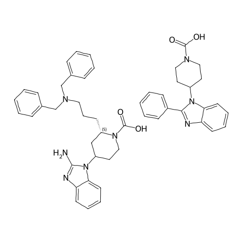 Nc1nc2ccccc2n1C1CCN(C(=O)O)[C@@H](CCCN(Cc2ccccc2)Cc2ccccc2)C1.O=C(O)N1CCC(n2c(-c3ccccc3)nc3ccccc32)CC1